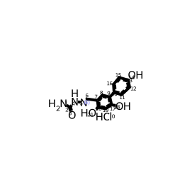 Cl.NC(=O)N/N=C/c1cc(-c2ccc(O)cc2)c(O)cc1O